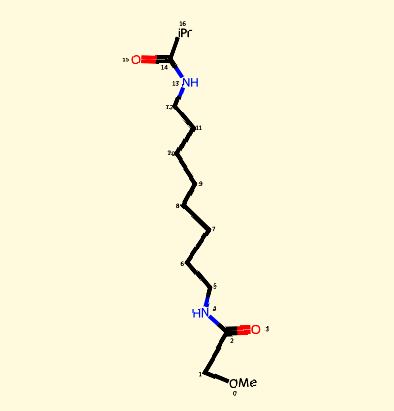 COCC(=O)NCCCCCCCCNC(=O)C(C)C